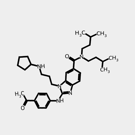 CC(=O)c1ccc(Nc2nc3ccc(C(=O)N(CCC(C)C)CCC(C)C)cc3n2CCCNC2CCCC2)cc1